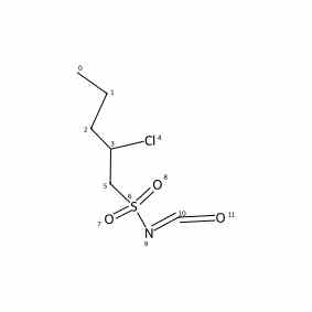 CCCC(Cl)CS(=O)(=O)N=C=O